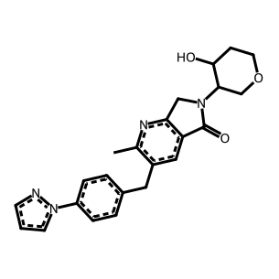 Cc1nc2c(cc1Cc1ccc(-n3cccn3)cc1)C(=O)N(C1COCCC1O)C2